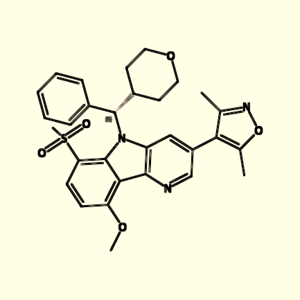 COc1ccc(S(C)(=O)=O)c2c1c1ncc(-c3c(C)noc3C)cc1n2[C@H](c1ccccc1)C1CCOCC1